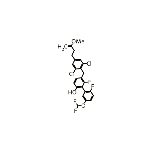 C=C(CCc1cc(Cl)c(Cc2ccc(O)c(-c3cc(OC(F)F)ccc3F)c2F)c(Cl)c1)OC